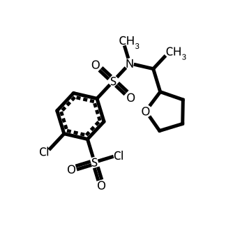 CC(C1CCCO1)N(C)S(=O)(=O)c1ccc(Cl)c(S(=O)(=O)Cl)c1